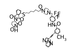 Cc1ccc(C(=O)Nc2ccc(CN3CCN(C(=O)CCCCCCSc4cccc5c4C(=O)N(C4CCC(=O)NC4=O)C5=O)CC3)c(C(F)(F)F)c2)cc1C#Cc1cnc2cccnn12